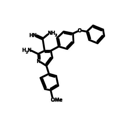 COc1ccc(-c2cc(-c3ccc(Oc4ccccc4)cc3)c(C(=N)N)c(N)n2)cc1